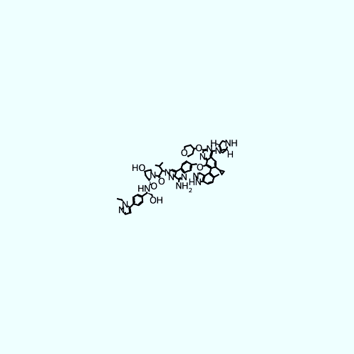 CCn1nccc1-c1ccc([C@H](CO)NC(=O)[C@@H]2C[C@@H](O)CN2C(=O)C(C(C)C)n2cc3c(n2)c(N)nc2cc(COc4c(-c5c(C)ccc6[nH]ncc56)c(C5CC5)cc5c(N6C[C@@H]7C[C@H]6CN7)nc(OC6CCOCC6)nc45)ccc23)cc1